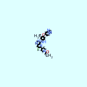 C=CC(=O)N1CC=C(c2nc3c(Nc4ccc(Oc5ccn6ncnc6c5)c(C)c4)ncnc3cc2F)CC1